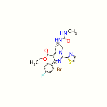 CCOC(=O)C1=C2C[C@H](NC(=O)NC)CN2C(c2nccs2)=N[C@H]1c1ccc(F)cc1Br